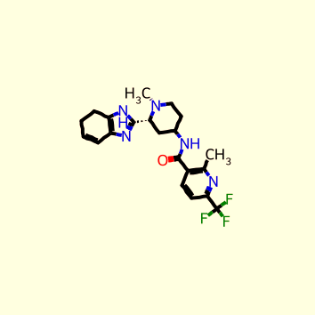 Cc1nc(C(F)(F)F)ccc1C(=O)NC1CCN(C)[C@@H](c2nc3c([nH]2)CCC=C3)C1